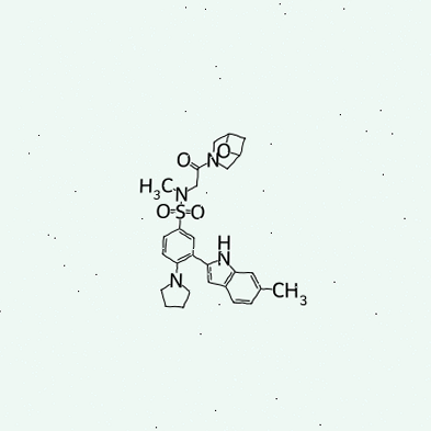 Cc1ccc2cc(-c3cc(S(=O)(=O)N(C)CC(=O)N4CC5CC(C4)O5)ccc3N3CCCC3)[nH]c2c1